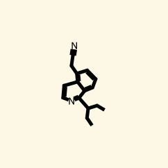 CCC(CC)c1nccc2c(CC#N)cccc12